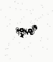 COC(=O)c1ccc2nc(C(C)c3ccc(B4OC(C)(C)C(C)(C)O4)c4c3CCO4)n(CC3(CF)CC3)c2c1